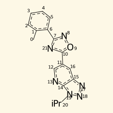 Cc1ccccc1-c1noc(-c2cnc3c(c2)nnn3C(C)C)n1